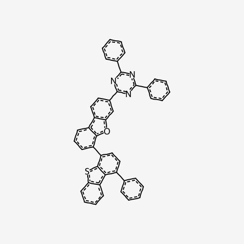 c1ccc(-c2nc(-c3ccccc3)nc(-c3ccc4c(c3)oc3c(-c5ccc(-c6ccccc6)c6c5sc5ccccc56)cccc34)n2)cc1